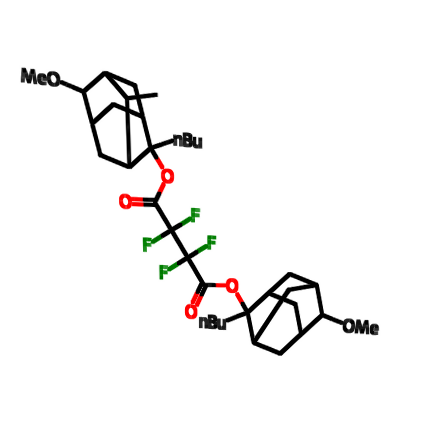 CCCCC1(OC(=O)C(F)(F)C(F)(F)C(=O)OC2(CCCC)C3CC4CC2C(C)C(C3)C4OC)C2CC3CC1CC(C2)C3OC